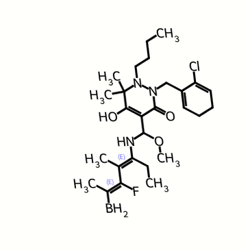 B/C(C)=C(F)/C(C)=C(\CC)NC(OC)C1=C(O)C(C)(C)N(CCCC)N(CC2=CCCC=C2Cl)C1=O